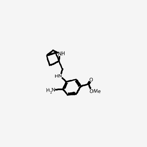 COC(=O)c1ccc(N)c(NCC23CC(CN2)C3)c1